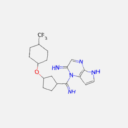 N=C(C1CCC(OC2CCC(C(F)(F)F)CC2)C1)n1c(=N)cnc2[nH]ccc21